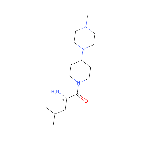 CC(C)C[C@H](N)C(=O)N1CCC(N2CCN(C)CC2)CC1